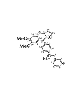 CCN(Cc1cccnc1)c1ccc(-c2c3cc(OC)c(OC)cc3cc3ccoc23)cc1